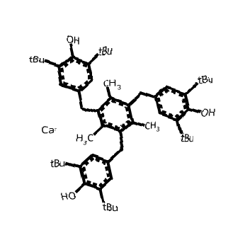 Cc1c(Cc2cc(C(C)(C)C)c(O)c(C(C)(C)C)c2)c(C)c(Cc2cc(C(C)(C)C)c(O)c(C(C)(C)C)c2)c(C)c1Cc1cc(C(C)(C)C)c(O)c(C(C)(C)C)c1.[Ca]